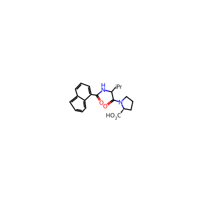 CC(C)C(NC(=O)c1cccc2ccccc12)C(=O)N1CCC[C@H]1C(=O)O